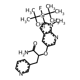 Cn1c([Si](F)(C(C)(C)C)C(C)(C)C)cc2cc(OC(Cc3cccnc3)C(N)=O)cnc21